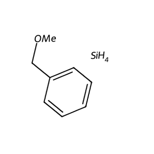 COCc1ccccc1.[SiH4]